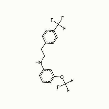 FC(F)(F)Oc1cccc(NCCc2ccc(C(F)(F)F)cc2)c1